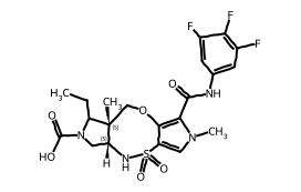 CCC1N(C(=O)O)C[C@H]2NS(=O)(=O)c3cn(C)c(C(=O)Nc4cc(F)c(F)c(F)c4)c3OC[C@@]12C